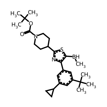 CBc1sc(C2CCN(C(=O)OC(C)(C)C)CC2)nc1-c1cc(C2CC2)cc(C(C)(C)C)c1